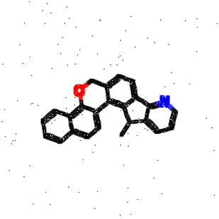 CC1c2cccnc2-c2ccc3c(c21)-c1ccc2ccccc2c1OC3